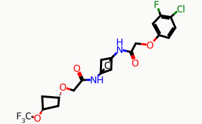 O=C(COc1ccc(Cl)c(F)c1)NC12CC(NC(=O)CO[C@H]3C[C@H](OC(F)(F)F)C3)(C1)C2